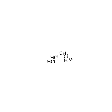 C.Cl.Cl.Cl.[V]